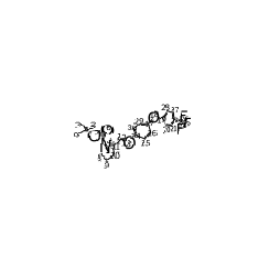 CC(C)(C)OC(=O)N1CCCC1COc1ccc(Oc2ccc(C(F)(F)F)cc2)cc1